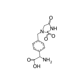 NC(C(=O)O)c1ccc(CN2CC(=O)NS2(=O)=O)cc1